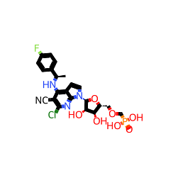 C[C@@H](Nc1c(C#N)c(Cl)nc2c1ccn2[C@@H]1O[C@H](COCP(=O)(O)O)[C@@H](O)[C@H]1O)c1ccc(F)cc1